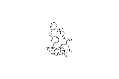 CCSC(=O)C(F)=C[C@H]1C(C)(C)[C@]1(C(=O)O)[C@@H](C#N)c1cccc(Oc2ccccc2)c1